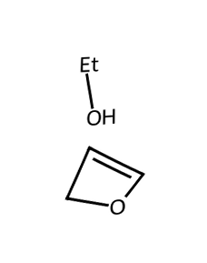 C1=COC1.CCO